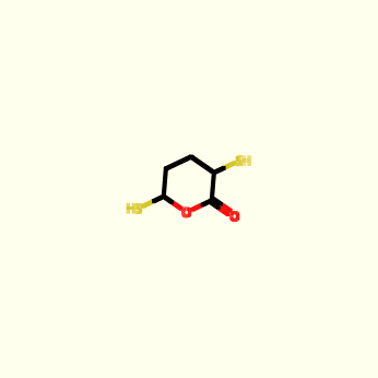 O=C1OC(S)CCC1S